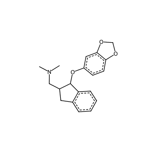 CN(C)CC1Cc2ccccc2C1Oc1ccc2c(c1)OCO2